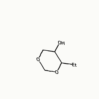 CCC1OCOCC1O